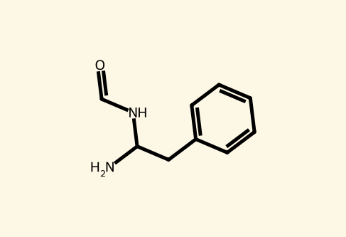 NC(Cc1ccccc1)NC=O